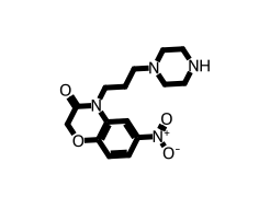 O=C1COc2ccc([N+](=O)[O-])cc2N1CCCN1CCNCC1